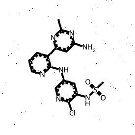 Cc1nc(N)cc(-c2cccnc2Nc2cnc(Cl)c(NS(C)(=O)=O)c2)n1